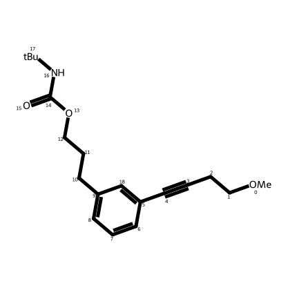 COCCC#Cc1cccc(CCCOC(=O)NC(C)(C)C)c1